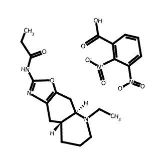 CCC(=O)Nc1nc2c(o1)C[C@@H]1[C@H](CCCN1CC)C2.O=C(O)c1cccc([N+](=O)[O-])c1[N+](=O)[O-]